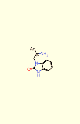 CC(=O)[C@@H](N)Cn1c(=O)[nH]c2ccccc21